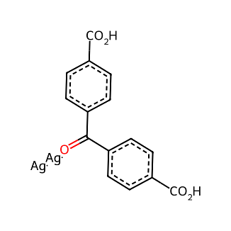 O=C(O)c1ccc(C(=O)c2ccc(C(=O)O)cc2)cc1.[Ag].[Ag]